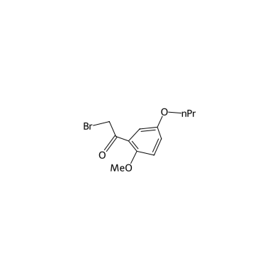 CCCOc1ccc(OC)c(C(=O)CBr)c1